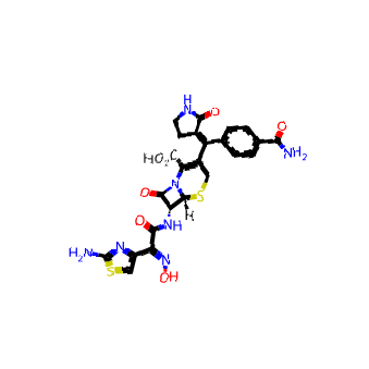 NC(=O)c1ccc(C(=C2CCNC2=O)C2=C(C(=O)O)N3C(=O)[C@@H](NC(=O)C(=NO)c4csc(N)n4)[C@H]3SC2)cc1